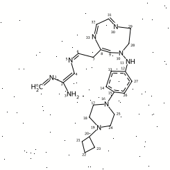 C=N/C(N)=C\N=C/CC1=C/N(Nc2ccc(N3CCN(C4CCC4)CC3)cc2)CC/N=C/C=N\1